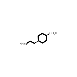 CCCCCCCC[C@H]1CC[C@@H](C(=O)O)CC1